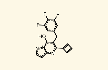 Oc1c(Cc2cc(F)c(F)c(F)c2)c(C2=CC=C2)nc2ccnn12